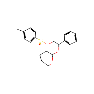 Cc1ccc(S(=O)(=O)OCC(OC2CCCCO2)c2ccccc2)cc1